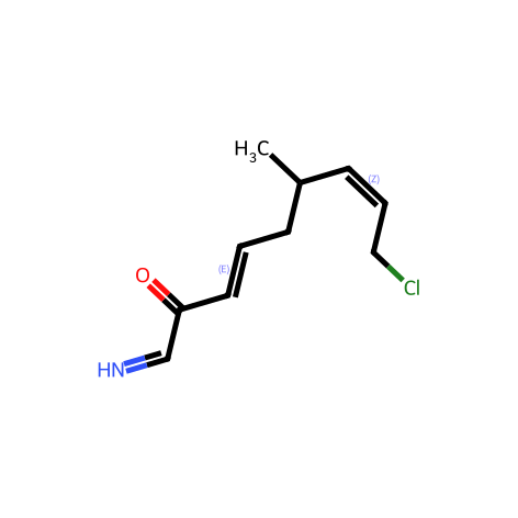 CC(/C=C\CCl)C/C=C/C(=O)C=N